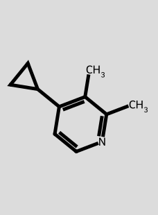 Cc1nccc(C2CC2)c1C